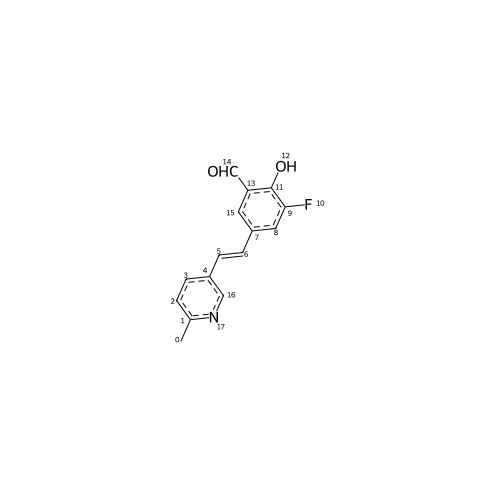 Cc1ccc(/C=C/c2cc(F)c(O)c(C=O)c2)cn1